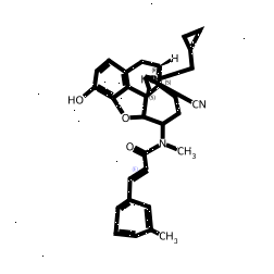 Cc1cccc(/C=C/C(=O)N(C)C2CC[C@@]3(O)[C@H]4Cc5ccc(O)c6c5[C@@]3(CC(C#N)N4CC3CC3)C2O6)c1